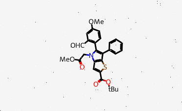 COC(=O)Cn1c(-c2ccc(OC)cc2C=O)c(-c2ccccc2)c2sc(C(=O)OC(C)(C)C)cc21